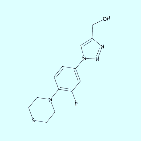 OCc1cn(-c2ccc(N3CCSCC3)c(F)c2)nn1